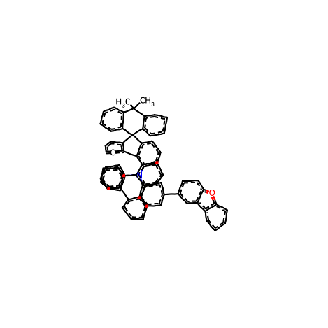 CC1(C)c2ccccc2C2(c3ccccc3-c3c(N(c4cccc(-c5ccc6oc7ccccc7c6c5)c4)c4ccccc4-c4ccccc4-c4ccccc4-c4ccccc4)cccc32)c2ccccc21